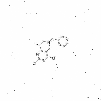 CC1CN(Cc2ccccc2)Cc2c(Cl)nc(Cl)nc21